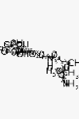 CC(CCCCC(=O)NCCOCCOCCO[C@@H](O)C(O)C(O)[C@H](O)C(C)CO)OCC(C)(C)OCCN